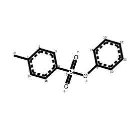 Cc1ccc(S(=O)(=O)Oc2ccccc2)cc1